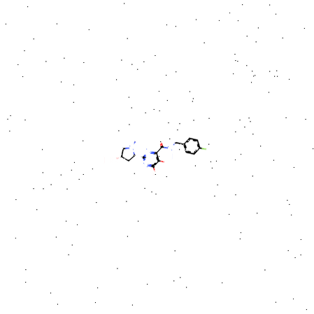 CN1C[C@H](O)C[C@H]1c1nc(O)c(O)c(C(=O)NCc2ccc(F)cc2)n1